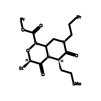 CC[C@H]1ON(C(=O)OC(C)C)C2CN(CCC(C)C)C(=O)[C@H](CCSC)N2C1=O